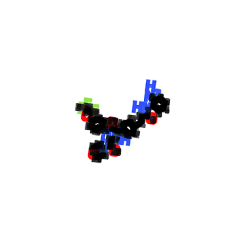 Nc1ccccc1NC(=O)C=Cc1ccc(C(NCC(=O)N2CCOCC2)C(=O)Nc2ccc(OC(F)(F)F)cc2)cc1